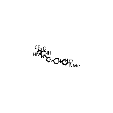 CNC(=O)c1ccc(N2CCC(N3CCC(c4nc5[nH]cc(C(F)(F)F)c5c(=O)[nH]4)C3)CC2)cn1